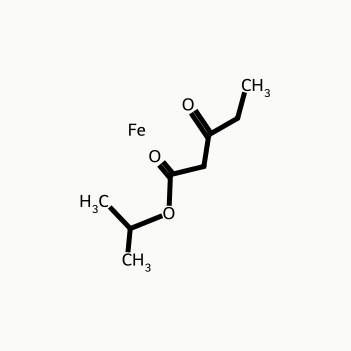 CCC(=O)CC(=O)OC(C)C.[Fe]